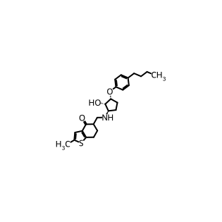 CCCCc1ccc(O[C@@H]2CC[C@@H](NCC3CCc4sc(C)cc4C3=O)[C@@H]2O)cc1